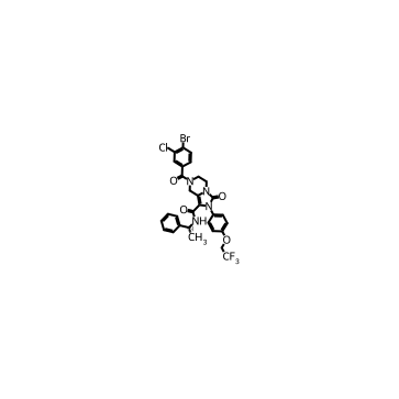 C[C@H](NC(=O)c1c2n(c(=O)n1-c1ccc(OCC(F)(F)F)cc1)CCN(C(=O)c1ccc(Br)c(Cl)c1)C2)c1ccccc1